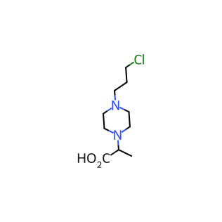 CC(C(=O)O)N1CCN(CCCCl)CC1